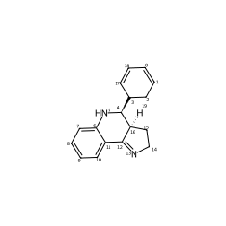 C1=CCC([C@@H]2Nc3ccccc3C3=NCC[C@@H]32)C=C1